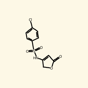 O=C1C=C(NS(=O)(=O)c2ccc(Cl)cc2)CO1